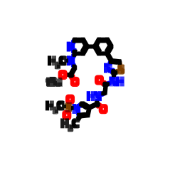 Cc1cc(C(=O)NCC(=O)Nc2nc(-c3cccc(-c4ccnc(N(C)CC(=O)OC(C)(C)C)c4)c3)cs2)cn1S(C)(=O)=O